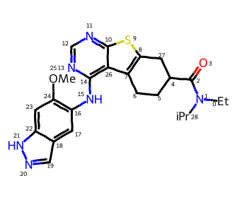 CCN(C(=O)C1CCc2c(sc3ncnc(Nc4cc5cn[nH]c5cc4OC)c23)C1)C(C)C